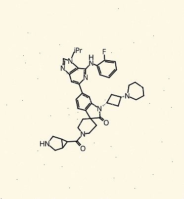 CC(C)n1cnc2cc(-c3ccc4c(c3)N([C@H]3C[C@@H](N5CCCCC5)C3)C(=O)C43CCN(C(=O)C4C5CNCC54)CC3)nc(Nc3ccccc3F)c21